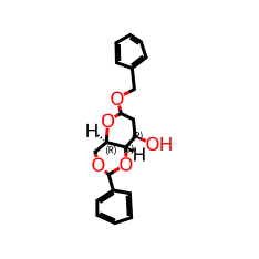 O[C@@H]1CC(OCc2ccccc2)O[C@@H]2COC(c3ccccc3)O[C@@H]12